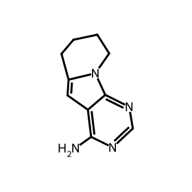 Nc1ncnc2c1cc1n2CCCC1